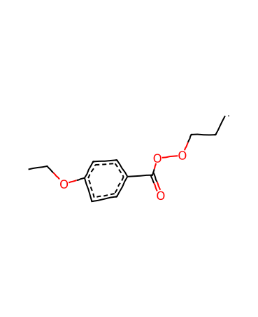 [CH2]CCOOC(=O)c1ccc(OCC)cc1